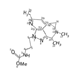 COC(=O)NCCCn1nc(C(C)N(C)C2CC2)c2ccc(C)nc21